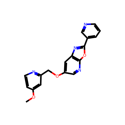 COc1ccnc(COc2cnc3oc(-c4cccnc4)nc3c2)c1